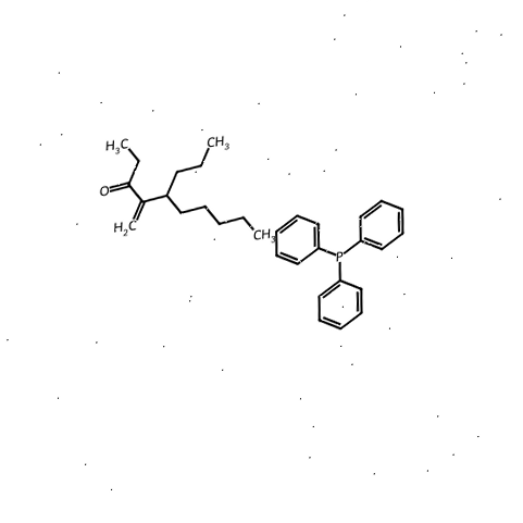 C=C(C(=O)CC)C(CCC)CCCCC.c1ccc(P(c2ccccc2)c2ccccc2)cc1